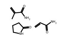 C=C(C)C(N)=O.C=CC(N)=O.O=C1CCCN1